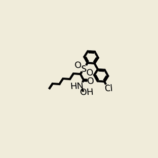 CCCCCCC(C(=O)NO)S(=O)(=O)c1ccccc1-c1ccc(Cl)cc1